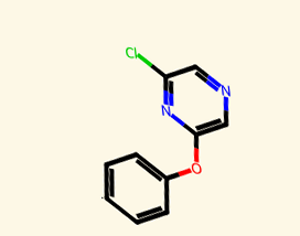 Clc1cncc(Oc2cc[c]cc2)n1